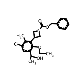 CCOc1c(C(C)O)cc(Cl)c(C)c1C1CN(C(=O)OCc2ccccc2)C1